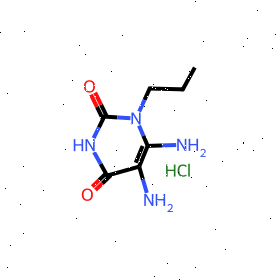 CCCn1c(N)c(N)c(=O)[nH]c1=O.Cl